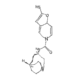 O=C(N[C@@H]1C[C@H]2CCN(C2)C1)N1C=CC2OC(S)=CC2=C1